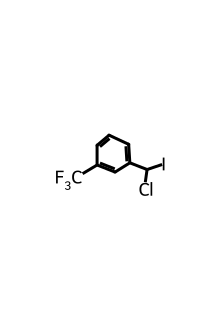 FC(F)(F)c1cccc(C(Cl)I)c1